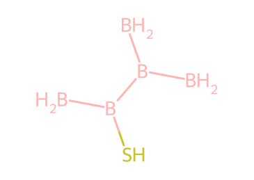 BB(B)B(B)S